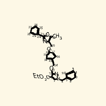 CCOC(=O)c1cn(Cc2ccccc2)nc1OCc1ccc(OCc2nc(-c3ccccc3)oc2C)cc1